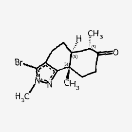 C[C@@H]1C(=O)CC[C@]2(C)c3nn(C)c(Br)c3CC[C@@H]12